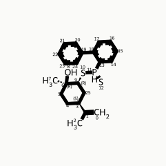 C=C(C)[C@H]1CC[C@@](C)(O)[C@H](S[PH](=S)c2ccccc2-c2ccccc2)C1